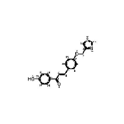 O=C(C=Cc1ccc(OCc2cscn2)cc1)c1ccc(O)cc1